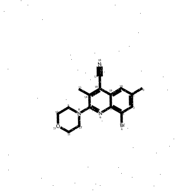 Cc1cc(Br)c2nc(N3CCOCC3)c(C)c(C#N)c2c1